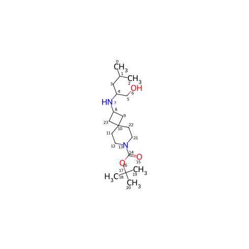 CC(C)CC(CO)NC1CC2(CCN(C(=O)OC(C)(C)C)CC2)C1